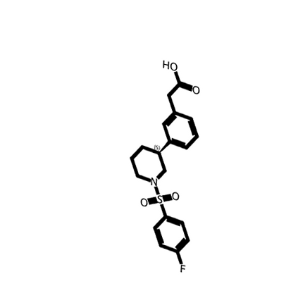 O=C(O)Cc1cccc([C@@H]2CCCN(S(=O)(=O)c3ccc(F)cc3)C2)c1